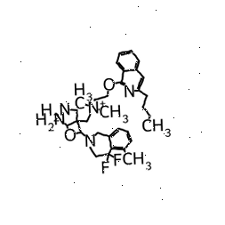 CCCCc1cc2ccccc2c(OCC[N+](C)(C)CC2(CN)C(N)OC2N2CCC(F)(F)c3c(C)cccc3C2)n1